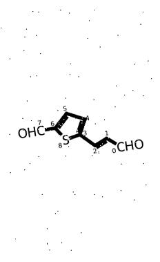 O=C/C=C/c1ccc(C=O)s1